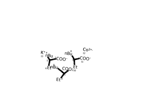 CCCCC(CC)C(=O)[O-].CCCCC(CC)C(=O)[O-].CCCCC(CC)C(=O)[O-].[Co+2].[K+]